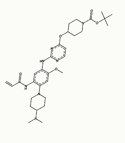 C=CC(=O)Nc1cc(Nc2nccc(OC3CCN(C(=O)OC(C)(C)C)CC3)n2)c(OC)cc1N1CCC(N(C)C)CC1